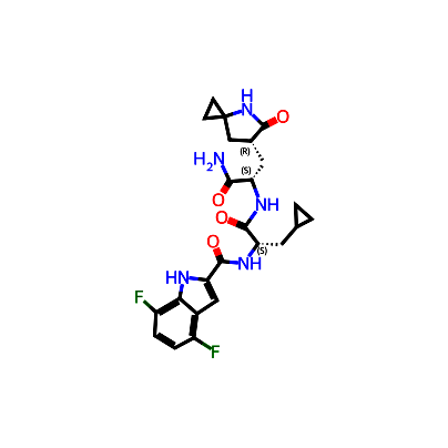 NC(=O)[C@H](C[C@@H]1CC2(CC2)NC1=O)NC(=O)[C@H](CC1CC1)NC(=O)c1cc2c(F)ccc(F)c2[nH]1